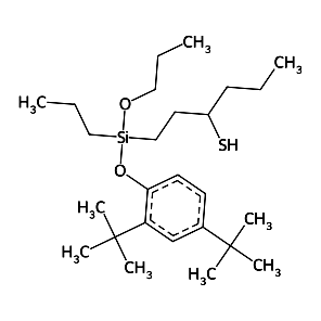 CCCO[Si](CCC)(CCC(S)CCC)Oc1ccc(C(C)(C)C)cc1C(C)(C)C